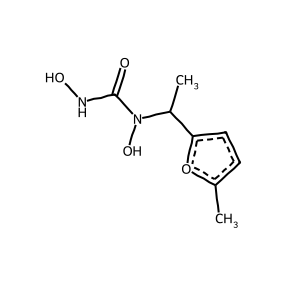 Cc1ccc(C(C)N(O)C(=O)NO)o1